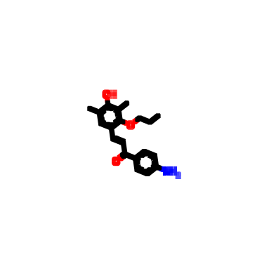 CCCOc1c(/C=C/C(=O)c2ccc(N)cc2)cc(C)c(O)c1C